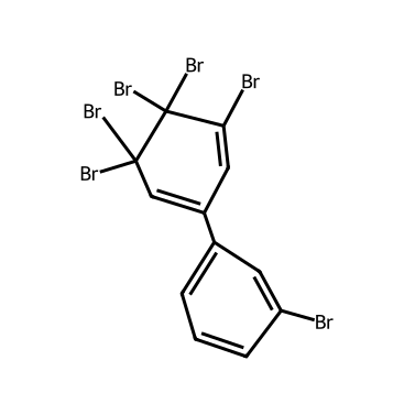 BrC1=CC(c2cccc(Br)c2)=CC(Br)(Br)C1(Br)Br